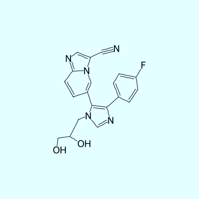 N#Cc1cnc2ccc(-c3c(-c4ccc(F)cc4)ncn3CC(O)CO)cn12